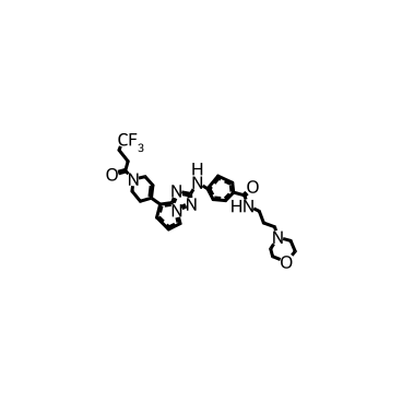 O=C(NCCCN1CCOCC1)c1ccc(Nc2nc3c(C4=CCN(C(=O)CCC(F)(F)F)CC4)cccn3n2)cc1